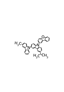 Cc1ccc2c(c1)c1ccccc1n2-c1ccc2c(c1)c1cc(C(C)C)ccc1n2-c1ccc2oc3ccccc3c2c1